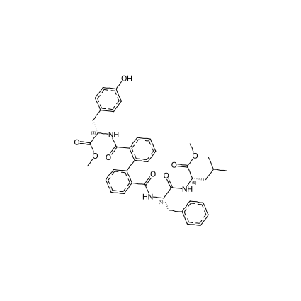 COC(=O)[C@H](Cc1ccc(O)cc1)NC(=O)c1ccccc1-c1ccccc1C(=O)N[C@@H](Cc1ccccc1)C(=O)N[C@@H](CC(C)C)C(=O)OC